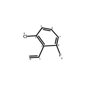 C=Cc1c(Cl)[c]ccc1F